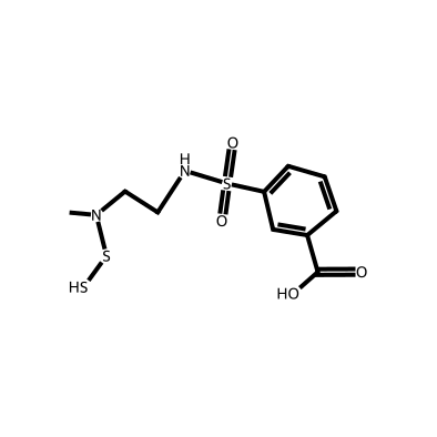 CN(CCNS(=O)(=O)c1cccc(C(=O)O)c1)SS